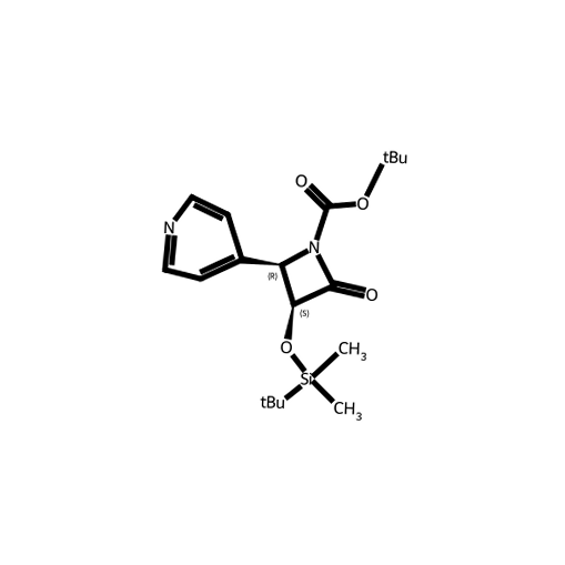 CC(C)(C)OC(=O)N1C(=O)[C@@H](O[Si](C)(C)C(C)(C)C)[C@H]1c1ccncc1